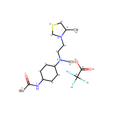 CC(C)(C)C(=O)NC1CCC(N(CCN2CSCC2C#N)N=O)CC1.O=C(O)C(F)(F)F